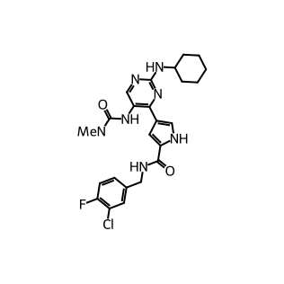 CNC(=O)Nc1cnc(NC2CCCCC2)nc1-c1c[nH]c(C(=O)NCc2ccc(F)c(Cl)c2)c1